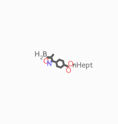 Bc1onc(C2CCC(C(=O)OCCCCCCC)CC2)c1C